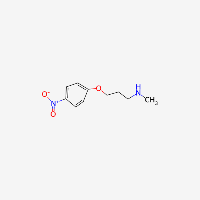 CNCCCOc1ccc([N+](=O)[O-])cc1